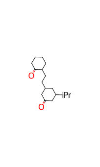 CC(C)C1CC(=O)CC(CCC2CCCCC2=O)C1